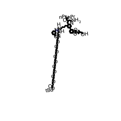 CCCN(CCC)C(=O)C1=Cc2c(CCCCN/C(=N/c3cccc(C#N)c3)NCCOCCOCCOCCOCCOCCOCCOCCOCCOCCOCCC(=O)OC(C)(C)C)cc(-c3cccc(S(=O)(=O)N4CC(CO)C4)c3)cc2N=C(N)C1